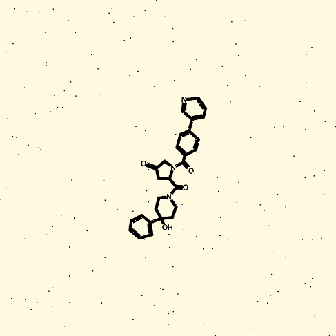 O=C1CC(C(=O)N2CCC(O)(c3ccccc3)CC2)N(C(=O)c2ccc(-c3cccnc3)cc2)C1